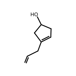 C=CCC1=CCC(O)C1